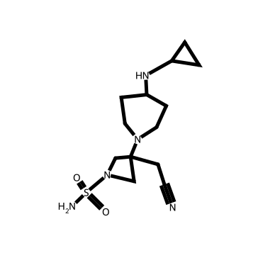 N#CCC1(N2CCC(NC3CC3)CC2)CN(S(N)(=O)=O)C1